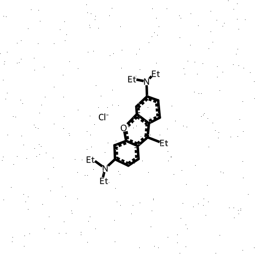 CCc1c2ccc(N(CC)CC)cc2[o+]c2cc(N(CC)CC)ccc12.[Cl-]